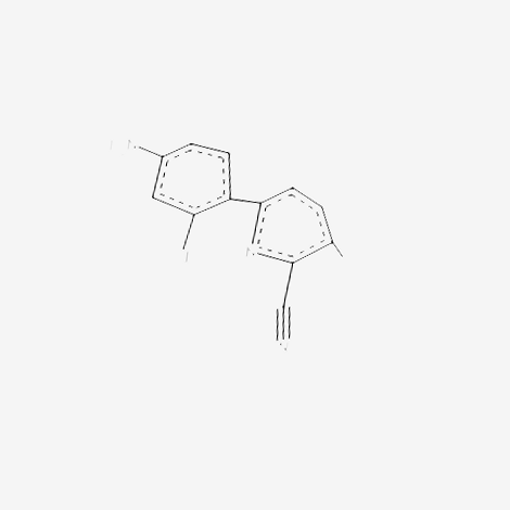 N#Cc1nc(-c2ccc(N)cc2Cl)ccc1F